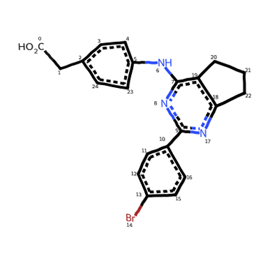 O=C(O)Cc1ccc(Nc2nc(-c3ccc(Br)cc3)nc3c2CCC3)cc1